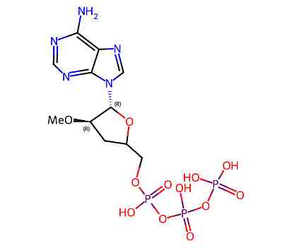 CO[C@@H]1CC(COP(=O)(O)OP(=O)(O)OP(=O)(O)O)O[C@H]1n1cnc2c(N)ncnc21